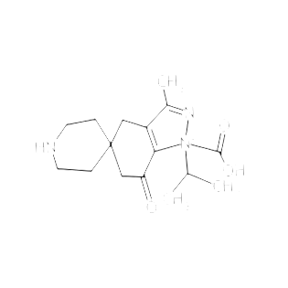 CC1=N[N+](C(=O)O)(C(C)C)C2=C1CC1(CCNCC1)CC2=O